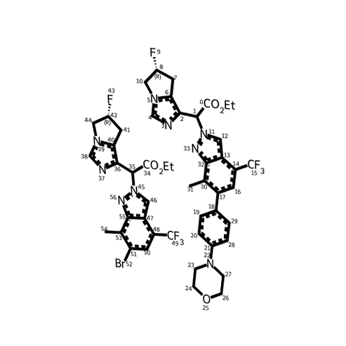 CCOC(=O)C(c1ncn2c1C[C@@H](F)C2)n1cc2c(C(F)(F)F)cc(-c3ccc(N4CCOCC4)cc3)c(C)c2n1.CCOC(=O)C(c1ncn2c1C[C@@H](F)C2)n1cc2c(C(F)(F)F)cc(Br)c(C)c2n1